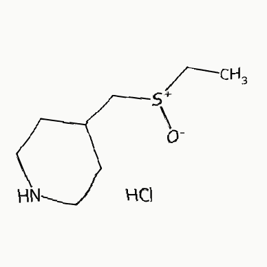 CC[S+]([O-])CC1CCNCC1.Cl